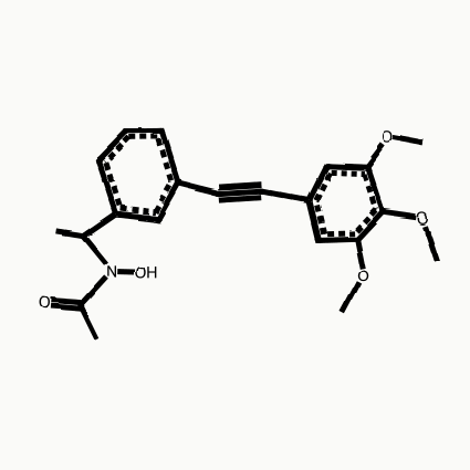 COc1cc(C#Cc2cccc(C(C)N(O)C(C)=O)c2)cc(OC)c1OC